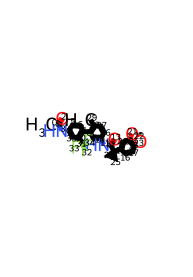 CC(=O)Nc1ccc(-c2cc(NC(=O)C3(c4ccc5c(c4)OCO5)CC3)ccc2C)c(C(F)(F)F)c1